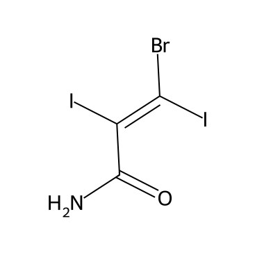 NC(=O)C(I)=C(Br)I